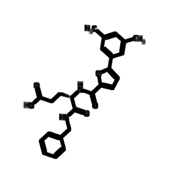 Cc1cc(C)cc(-c2ccc(C(=O)N[C@@H](CCC(=O)O)C(=O)NCc3ccccc3)o2)c1